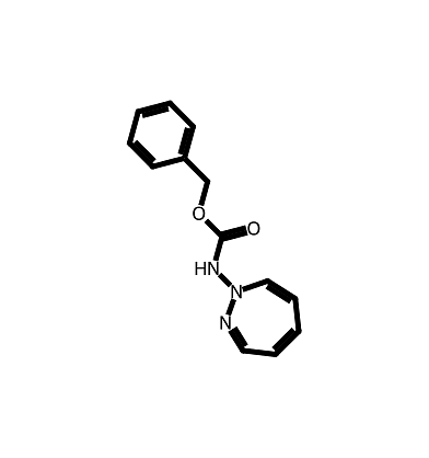 O=C(NN1C=CC=CC=N1)OCc1ccccc1